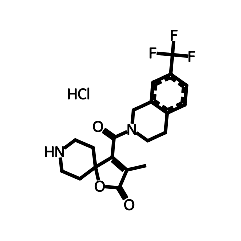 CC1=C(C(=O)N2CCc3ccc(C(F)(F)F)cc3C2)C2(CCNCC2)OC1=O.Cl